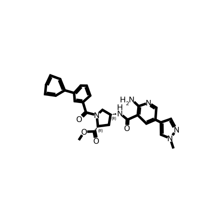 COC(=O)[C@H]1C[C@@H](NC(=O)c2cc(-c3cnn(C)c3)cnc2N)CN1C(=O)c1cccc(-c2ccccc2)c1